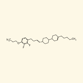 CCCCCC1=CCC(C2CCC(/C=C/CCc3ccc(OCCC)c(F)c3F)CC2)CC1